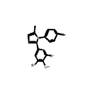 Cc1ccc(-c2cc(Br)c(O)c(Br)c2)n1-c1ccc(Br)cc1